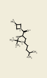 CC(C)CCCCC(NC(C)(C)C)C(=O)N1CC(O)C1